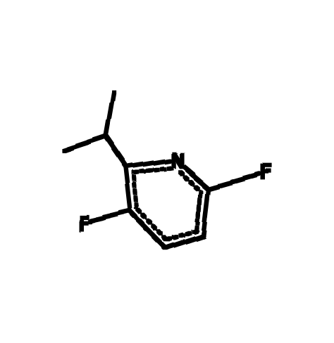 CC(C)c1nc(F)ccc1F